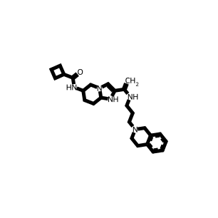 C=C(NCCCN1CCc2ccccc2C1)C1=CN2CC(NC(=O)C3CCC3)CCC2N1